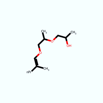 CCCC(C)=COCC(C)OCC(C)O